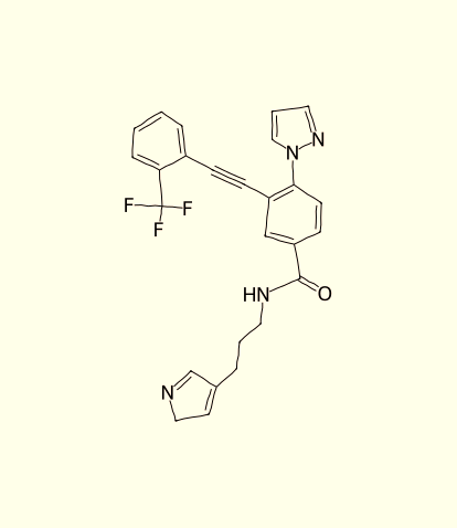 O=C(NCCCC1=CCN=C1)c1ccc(-n2cccn2)c(C#Cc2ccccc2C(F)(F)F)c1